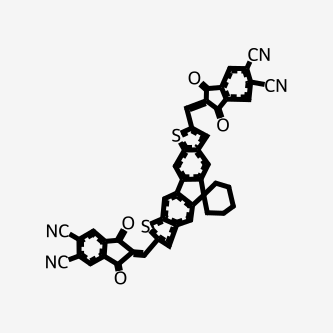 N#Cc1cc2c(cc1C#N)C(=O)C(=Cc1cc3cc4c(cc3s1)-c1cc3sc(C=C5C(=O)c6cc(C#N)c(C#N)cc6C5=O)cc3cc1C41CCCCC1)C2=O